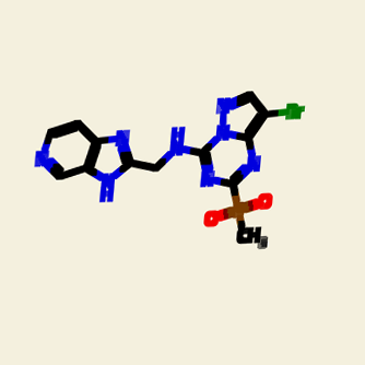 CS(=O)(=O)c1nc(NCc2nc3ccncc3[nH]2)n2ncc(Br)c2n1